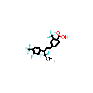 CC(F)(F)C(C=Cc1ccc(C(=O)O)c(C(F)(F)F)c1)c1ccc(C(F)(F)F)c(F)c1